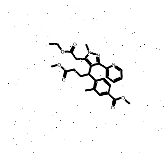 CCOC(=O)Cc1c(C(CCC(=O)OC)c2ccc(C(=O)OC)cc2C)c(-c2ccccn2)nn1C